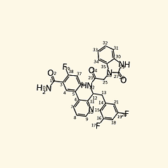 NC(=O)c1cc(-c2cccnc2C(Cc2cc(F)cc(F)c2)NC(=O)Cn2c(=O)[nH]c3ccccc32)ccc1F